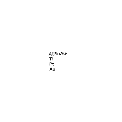 [Al].[Au].[Au].[Pt].[Sn].[Ti]